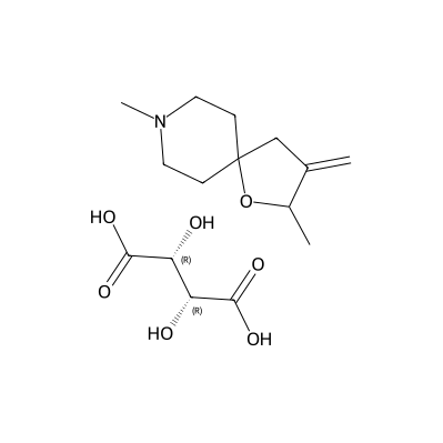 C=C1CC2(CCN(C)CC2)OC1C.O=C(O)[C@H](O)[C@@H](O)C(=O)O